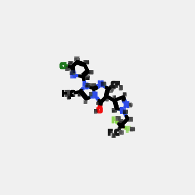 Cc1cn2c(=O)c(-c3cnn(CC(F)(F)C(F)(F)F)c3)c(C(F)(F)F)nc2n1-c1cccc(Cl)n1